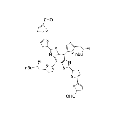 CCCCC(CC)Cc1ccc(-c2c3nc(-c4ccc(-c5ccc(C=O)s5)s4)sc3c(-c3ccc(CC(CC)CCCC)s3)c3nc(-c4ccc(-c5ccc(C=O)s5)s4)sc23)s1